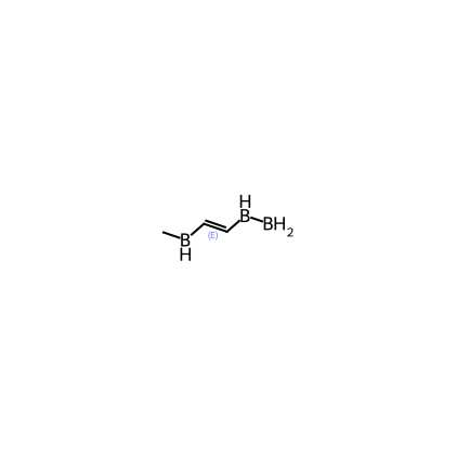 BB/C=C/BC